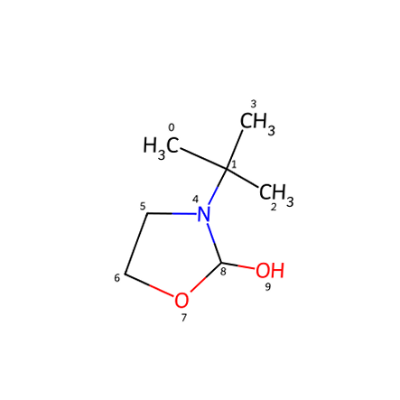 CC(C)(C)N1CCOC1O